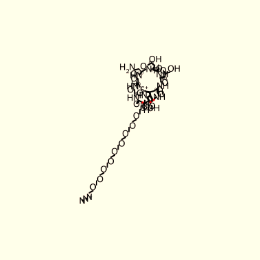 CC[C@H](C)[C@@H]1NC(=O)CNC(=O)[C@@H]2Cc3c([nH]c4c(CSCCOCCOCCOCCOCCOCCOCCOCCOCCOCCN=[N+]=[N-])c(O)ccc34)[S+]([O-])C[C@H](NC(=O)CNC1=O)C(=O)N[C@@H](CC(N)=O)C(=O)N1C[C@H](O)C[C@H]1C(=O)N[C@@H]([C@@H](C)[C@@H](O)CO)C(=O)N2